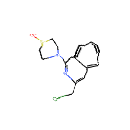 [O-][S+]1CCN(c2nc(CCl)cc3ccccc23)CC1